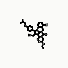 CCOC(=O)Cn1c(=O)c2c(CBr)c(-c3ccc(OCC(C)C)cc3)sc2n(Cc2c(F)cccc2Cl)c1=O